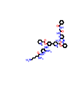 CN1CC(c2ccc(OC(=O)[C@@H]3CCCCN3C)c(/N=N/c3ccc(NC(=O)[C@@H](N)CCCCN)nc3N)c2)CC[C@H]1C(=O)Oc1ccccc1/N=N/c1ccc(NC(=O)CNC(=O)c2ccccc2)nc1N